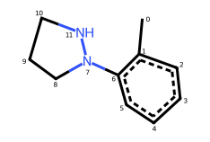 Cc1ccccc1N1CCCN1